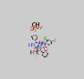 C[C@@H](c1ccccc1)C(C(=O)Nc1ccc(I)cc1F)N1C(=O)NC(c2ccc(CCS(C)(=O)=O)cc2)C1=O